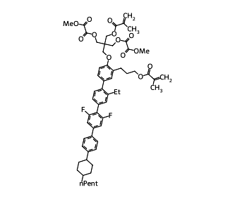 C=C(C)C(=O)OCCCc1cc(-c2ccc(-c3c(F)cc(-c4ccc(C5CCC(CCCCC)CC5)cc4)cc3F)cc2CC)ccc1OCC(COC(=O)C(=C)C)(COC(=O)C(=O)OC)COC(=O)C(=O)OC